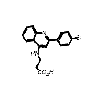 O=C(O)CCNc1cc(-c2ccc(Br)cc2)nc2ccccc12